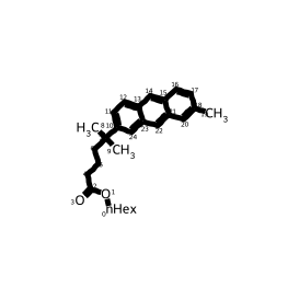 CCCCCCOC(=O)CCCC(C)(C)c1ccc2cc3ccc(C)cc3cc2c1